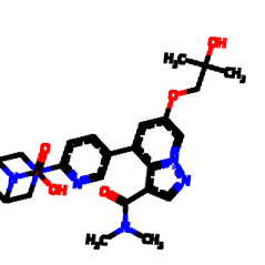 CN(C)C(=O)c1cnn2cc(OCC(C)(C)O)cc(-c3ccc(N4CC5CC(C4)N5C(=O)O)nc3)c12